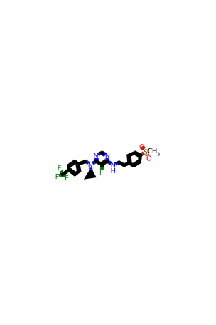 CS(=O)(=O)c1ccc(CCNc2ncnc(N(Cc3ccc(C(F)(F)F)cc3)C3CC3)c2F)cc1